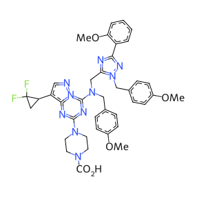 COc1ccc(CN(Cc2nc(-c3ccccc3OC)nn2Cc2ccc(OC)cc2)c2nc(N3CCN(C(=O)O)CC3)nc3c(C4CC4(F)F)cnn23)cc1